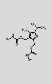 CC(C)NC(=O)OCc1nc(N(C)C)n(C)c1COC(=O)NC(C)C